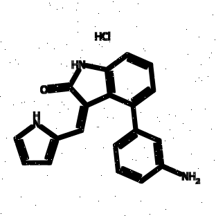 Cl.Nc1cccc(-c2cccc3c2C(=Cc2ccc[nH]2)C(=O)N3)c1